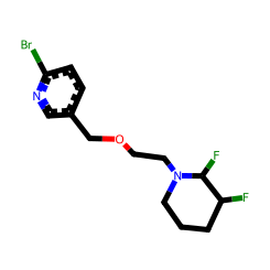 FC1CCCN(CCOCc2ccc(Br)nc2)C1F